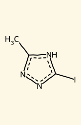 Cc1nnc(I)[nH]1